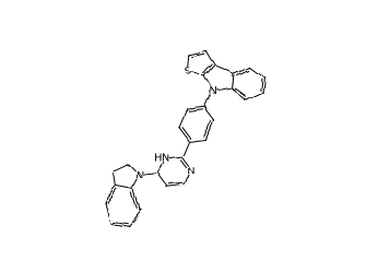 C1=CC(N2CCc3ccccc32)NC(c2ccc(-n3c4ccccc4c4ccsc43)cc2)=N1